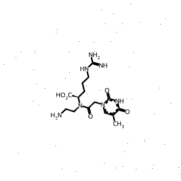 Cc1cn(CC(=O)N(CCN)[C@H](CCCNC(=N)N)C(=O)O)c(=O)[nH]c1=O